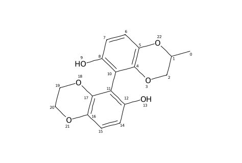 CC1COc2c(ccc(O)c2-c2c(O)ccc3c2OCCO3)O1